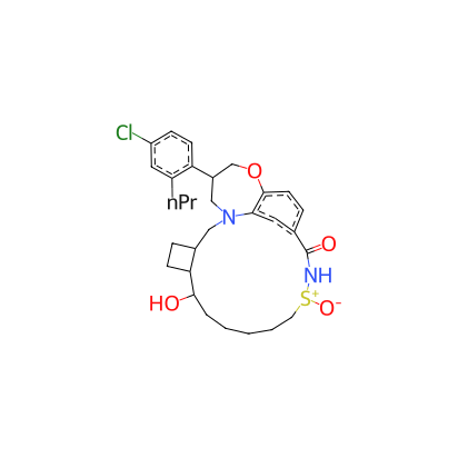 CCCc1cc(Cl)ccc1C1COc2ccc3cc2N(C1)CC1CCC1C(O)CCCCC[S+]([O-])NC3=O